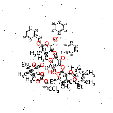 CCC1O[C@@H](O[C@@H]2C(OCc3ccccc3)[C@H](O[C@@H]3C(COCc4ccccc4)O[C@@H](OCc4ccccc4)C(C)[C@H]3C)OC(CO[C@H]3OC(CC)[C@@H](C)[C@H](C)C3OC(=O)OCC(Cl)(Cl)Cl)[C@H]2O)[C@@H](O[C@@H]2OC(CC)[C@@H](C)[C@H](C)C2C)C(C)[C@H]1C